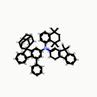 CC1(C)CCC(C)(C)c2c(N(C3=CC4=C(CC3)c3ccccc3C4(C)C)c3cc(-c4ccccc4)c4c(c3)C3(c5ccccc5-4)C4CC5CC(C4)CC3C5)cccc21